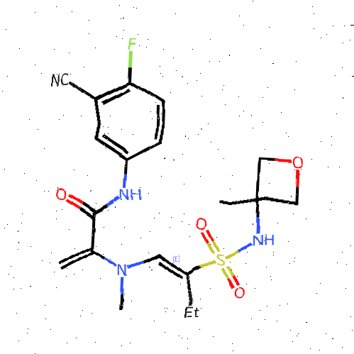 C=C(C(=O)Nc1ccc(F)c(C#N)c1)N(C)/C=C(\CC)S(=O)(=O)NC1(C)COC1